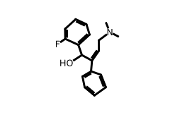 CN(C)CC=C(c1ccccc1)C(O)c1ccccc1F